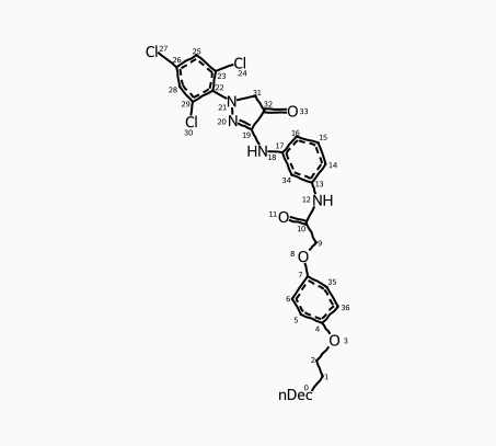 CCCCCCCCCCCCOc1ccc(OCC(=O)Nc2cccc(NC3=NN(c4c(Cl)cc(Cl)cc4Cl)CC3=O)c2)cc1